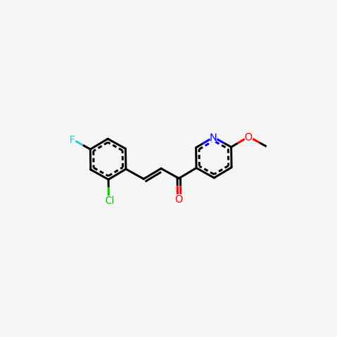 COc1ccc(C(=O)C=Cc2ccc(F)cc2Cl)cn1